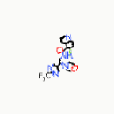 O=C(NCC(c1cnc(C(F)(F)F)nc1)N1CCOCC1)c1c(F)ccc2ncccc12